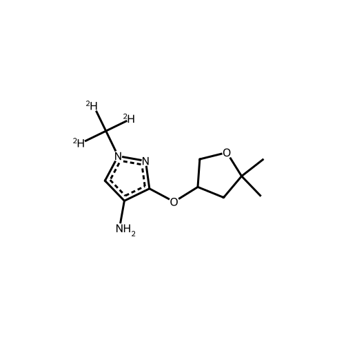 [2H]C([2H])([2H])n1cc(N)c(OC2COC(C)(C)C2)n1